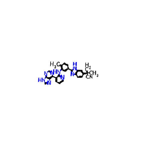 Cc1ccc(-c2nc3ccc(C(C)(C)C#N)cc3[nH]2)cc1Nc1ncccc1-c1ncnc2[nH]cnc12